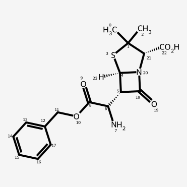 CC1(C)S[C@@H]2[C@@H](C(N)C(=O)OCc3ccccc3)C(=O)N2[C@H]1C(=O)O